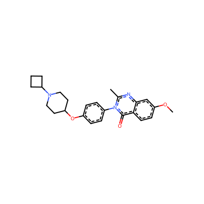 COc1ccc2c(=O)n(-c3ccc(OC4CCN(C5CCC5)CC4)cc3)c(C)nc2c1